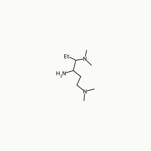 CCC(C(N)CCN(C)C)N(C)C